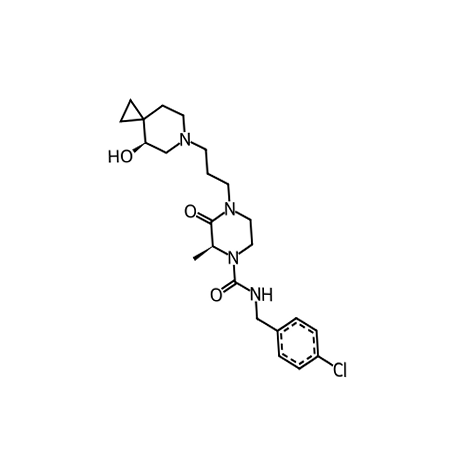 C[C@H]1C(=O)N(CCCN2CCC3(CC3)[C@H](O)C2)CCN1C(=O)NCc1ccc(Cl)cc1